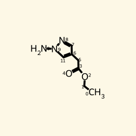 CCOC(=O)Cc1cnn(N)c1